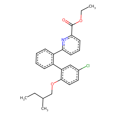 CCOC(=O)c1cccc(-c2ccccc2-c2cc(Cl)ccc2OCC(C)CC)n1